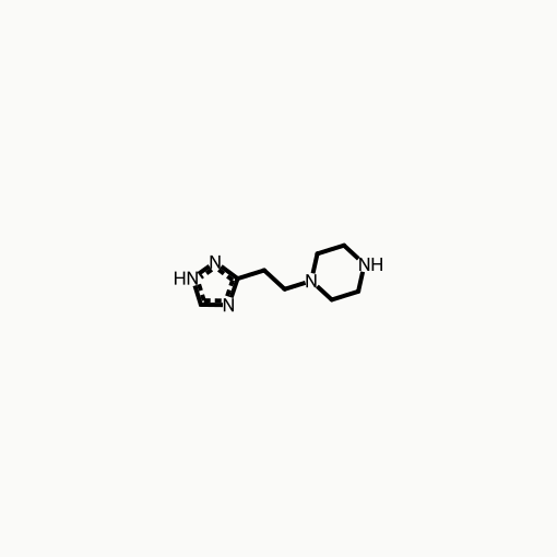 c1nc(CCN2CCNCC2)n[nH]1